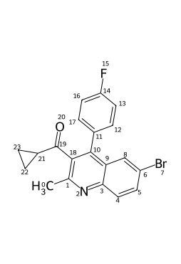 Cc1nc2ccc(Br)cc2c(-c2ccc(F)cc2)c1C(=O)C1CC1